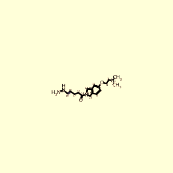 CN(C)CCOc1ccc2c(c1)CN(C(=O)CC/C=C/NN)C2